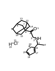 CC(NCC(=O)C12CC3CC(CC(C3)C1)C2)c1cccs1.[Cl-].[H+]